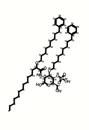 CCCCCCCCCCCCC(OCCCCCCCCCc1ccccc1)C(=O)N[C@H]1C(O)O[C@H](CO)[C@@H](OS(=O)(=O)O)[C@@H]1OCCCCCCCCCc1ccccc1